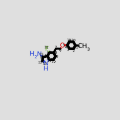 Cc1ccc(OCCc2ccc3[nH]cc(N)c3c2F)cc1